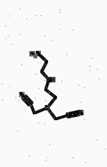 N#CCN(CC#N)CCNCCN